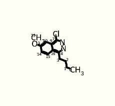 CCCCc1nnc(Cl)c2cc(OC)ccc12